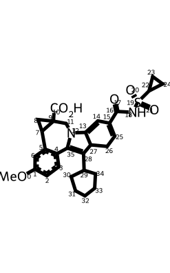 COc1ccc2c(c1)C1CC1(C(=O)O)CN1C3=CC(C(=O)NS(=O)(=O)C4CC4)=CCC3C(C3CCCCC3)=C21